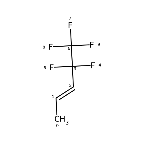 CC=CC(F)(F)C(F)(F)F